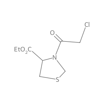 CCOC(=O)C1CSCN1C(=O)CCl